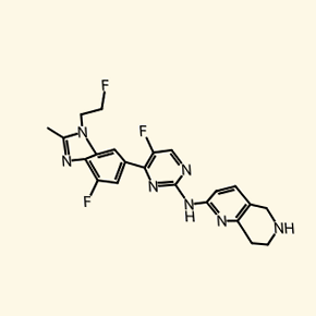 Cc1nc2c(F)cc(-c3nc(Nc4ccc5c(n4)CCNC5)ncc3F)cc2n1CCF